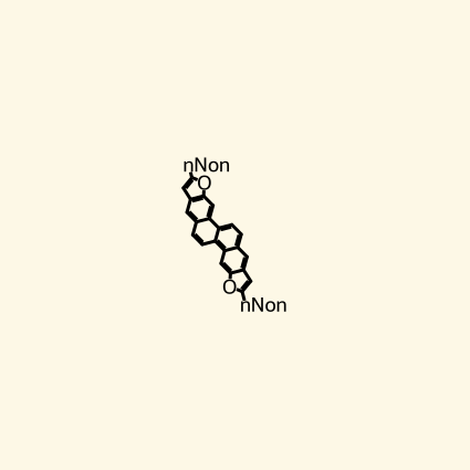 CCCCCCCCCc1cc2cc3ccc4c5cc6oc(CCCCCCCCC)cc6cc5ccc4c3cc2o1